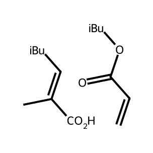 C=CC(=O)OC(C)CC.CCC(C)C=C(C)C(=O)O